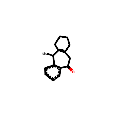 CC(C)(C)C1C2=C(CCCC2)CC(=O)c2ccccc21